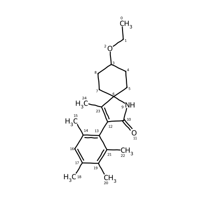 CCOC1CCC2(CC1)NC(=O)C(c1c(C)cc(C)c(C)c1C)=C2C